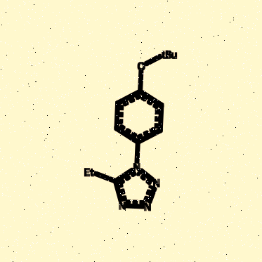 CCc1nnnn1-c1ccc(OC(C)(C)C)cc1